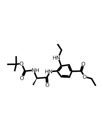 CCNc1cc(C(=O)OCC)ccc1NC(=O)[C@@H](C)NC(=O)OC(C)(C)C